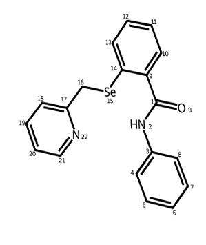 O=C(Nc1ccccc1)c1ccccc1[Se]Cc1ccccn1